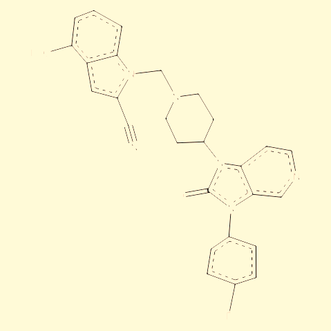 Cc1cccc2c1cc(C#N)n2CN1CCC(n2c(=O)n(-c3ccc(F)cc3)c3cnccc32)CC1